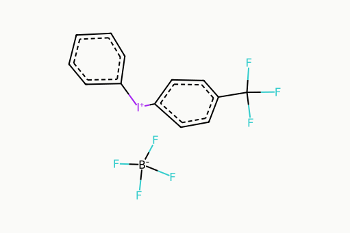 FC(F)(F)c1ccc([I+]c2ccccc2)cc1.F[B-](F)(F)F